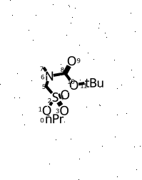 CCCOS(=O)(=O)CN(C)C(=O)OC(C)(C)C